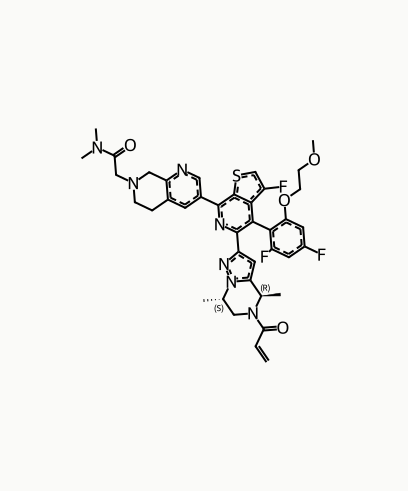 C=CC(=O)N1C[C@H](C)n2nc(-c3nc(-c4cnc5c(c4)CCN(CC(=O)N(C)C)C5)c4scc(F)c4c3-c3c(F)cc(F)cc3OCCOC)cc2[C@H]1C